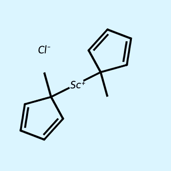 C[C]1([Sc+][C]2(C)C=CC=C2)C=CC=C1.[Cl-]